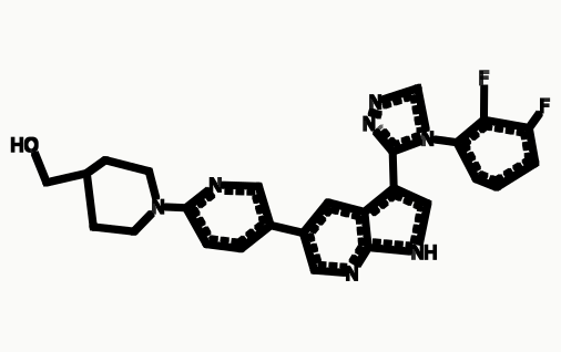 OCC1CCN(c2ccc(-c3cnc4[nH]cc(-c5nncn5-c5cccc(F)c5F)c4c3)cn2)CC1